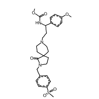 COC(=O)NC(CCN1CCC2(CC1)CCN(Cc1ccc(S(C)(=O)=O)cc1)C2=O)c1ccc(OC)cc1